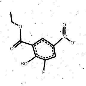 CCOC(=O)c1cc([N+](=O)[O-])cc(F)c1O